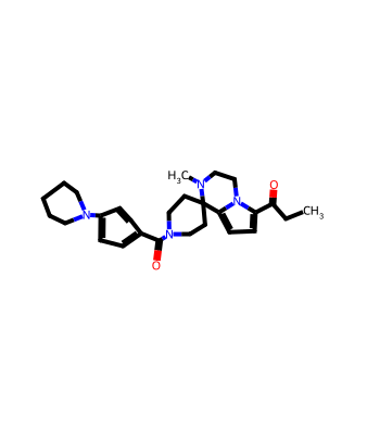 CCC(=O)c1ccc2n1CCN(C)C21CCN(C(=O)c2ccc(N3CCCCC3)cc2)CC1